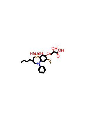 CCCC[C@]1(C)CN(c2ccccc2)c2cc(SC)c(OC[C@H](O)C(=O)O)cc2S(O)(O)C1